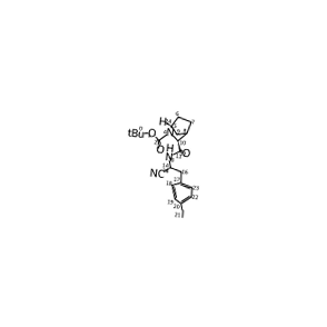 CC(C)(C)OC(=O)N1[C@@H]2CCC(C2)[C@H]1C(=O)N[C@H](C#N)Cc1ccc(I)cc1